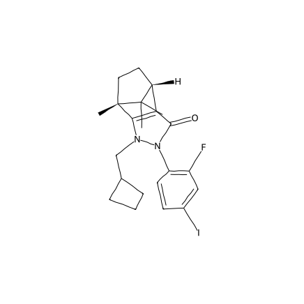 CC1(C)[C@@H]2CC[C@@]1(C)c1c2c(=O)n(-c2ccc(I)cc2F)n1CC1CCC1